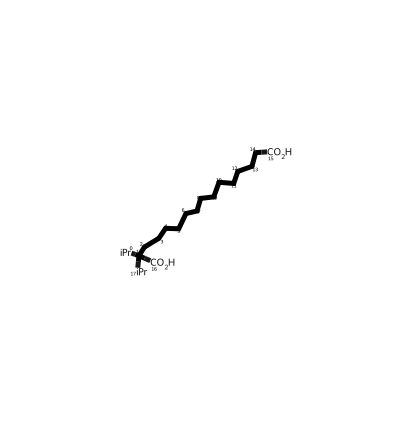 CC(C)C(CCCCCCCCCCCCCC(=O)O)(C(=O)O)C(C)C